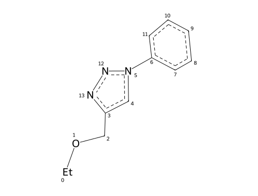 CCOCc1cn(-c2ccccc2)nn1